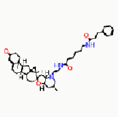 C[C@H]1C[C@H]2O[C@]3(CCC4[C@@H]5CCC6=CC(=O)CC[C@]6(C)[C@H]5CC45CC53C)[C@H](C)[C@@H]2N(CCNC(=O)CCCCCNC(=O)CCc2ccccc2)C1